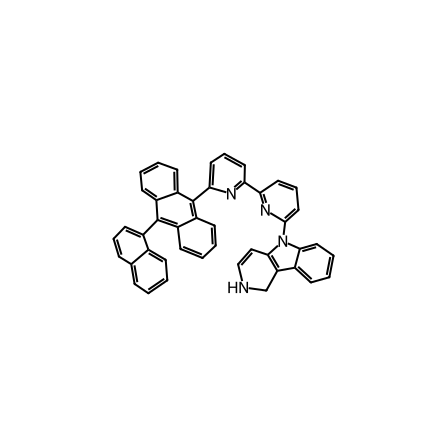 C1=Cc2c(c3ccccc3n2-c2cccc(-c3cccc(-c4c5ccccc5c(-c5cccc6ccccc56)c5ccccc45)n3)n2)CN1